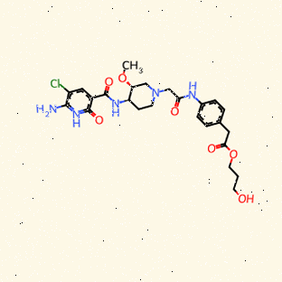 CO[C@H]1CN(CC(=O)Nc2ccc(CC(=O)OCCCO)cc2)CC[C@H]1NC(=O)c1cc(Cl)c(N)[nH]c1=O